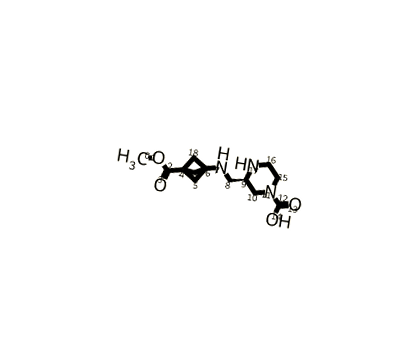 COC(=O)C12CC(NC[C@@H]3CN(C(=O)O)CCN3)(C1)C2